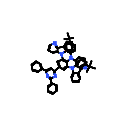 CC(C)(C)c1ccc(N(c2ccc(C(C)(C)C)cc2)c2c(-n3c4ccccc4c4ncccc43)cc(-c3cc(-c4ccccc4)nc(-c4ccccc4)n3)cc2-n2c3ccccc3c3ncccc32)cc1